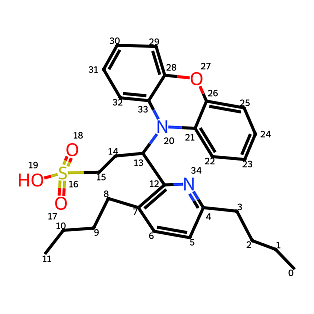 CCCCc1ccc(CCCC)c(C(CCS(=O)(=O)O)N2c3ccccc3Oc3ccccc32)n1